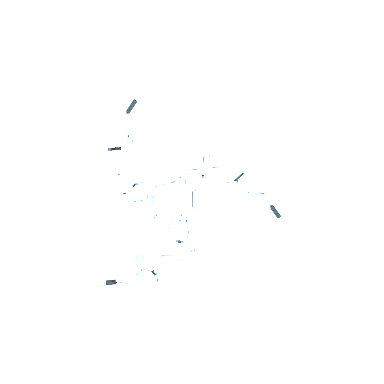 C#CCNC(=O)CCP(=O)(O)CN1CCN(CP(=O)(O)CCC(=O)NCC#C)CCN(CP(=O)(O)CCC(=O)NCC#C)CC1